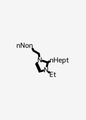 CCCCCCCCCCCN1C=CN(CC)C1CCCCCCC